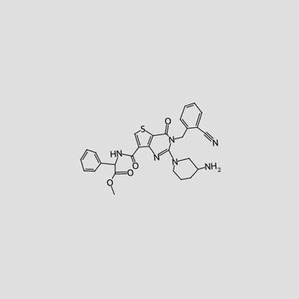 COC(=O)C(NC(=O)c1csc2c(=O)n(Cc3ccccc3C#N)c(N3CCCC(N)C3)nc12)c1ccccc1